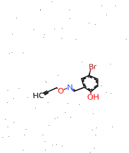 C#CCON=Cc1cc(Br)ccc1O